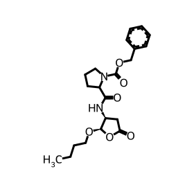 CCCCO[C@@H]1OC(=O)C[C@@H]1NC(=O)C1CCCN1C(=O)OCc1ccccc1